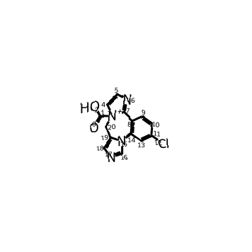 O=C(O)[N+]12C=CN=C1c1ccc(Cl)cc1-n1cncc1C2